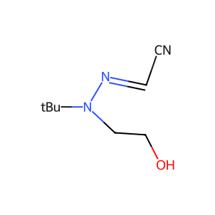 CC(C)(C)N(CCO)N=CC#N